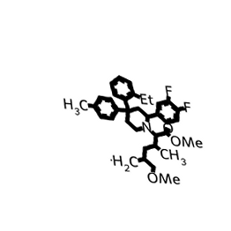 [CH2]C(COC)CC(C)C(C(=O)OC)N1CCC(c2ccc(C)cc2)(c2ccccc2CC)CC1c1ccc(F)c(F)c1